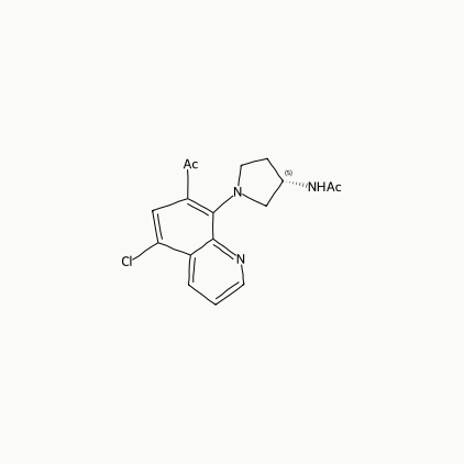 CC(=O)N[C@H]1CCN(c2c(C(C)=O)cc(Cl)c3cccnc23)C1